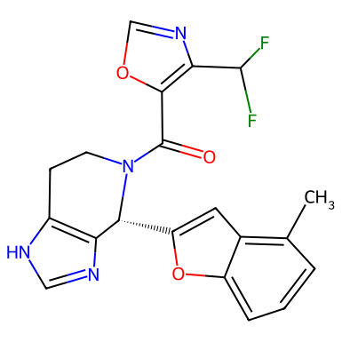 Cc1cccc2oc([C@@H]3c4nc[nH]c4CCN3C(=O)c3ocnc3C(F)F)cc12